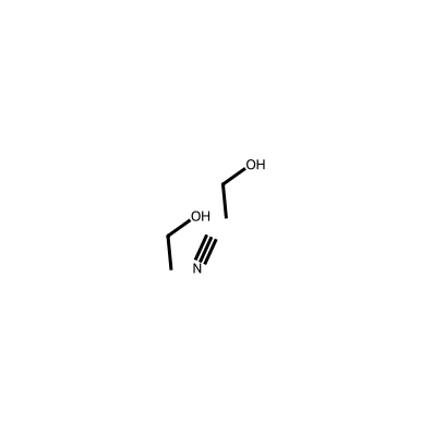 C#N.CCO.CCO